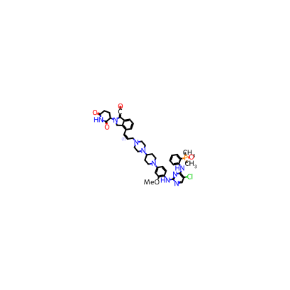 COc1cc(N2CCC(N3CCN(C/C=C\c4cccc5c4CN(C4CCC(=O)NC4=O)C5=C=O)CC3)CC2)ccc1Nc1ncc(Cl)c(Nc2ccccc2P(C)(C)=O)n1